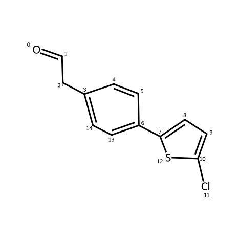 O=C[CH]c1ccc(-c2ccc(Cl)s2)cc1